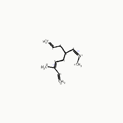 C=CCC(/C=N\C)C/C=C(/C)C=C